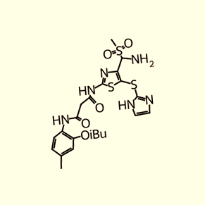 Cc1ccc(NC(=O)CC(=O)Nc2nc(C(N)S(C)(=O)=O)c(Sc3ncc[nH]3)s2)c(OCC(C)C)c1